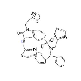 O=C1/C(=C/c2nccs2)c2cc(S(=O)(=O)N(Cc3nccs3)C(c3ccccc3)c3ccccc3)ccc2N1Cc1nccs1